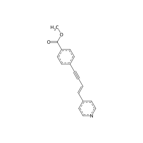 COC(=O)c1ccc(C#CC=Cc2ccncc2)cc1